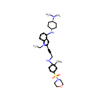 COc1cc(S(=O)(=O)N2CCOCC2)ccc1NCC#Cc1cc2c(N[C@H]3CC[C@H](N(C)C)CC3)cccc2n1CC(F)(F)F